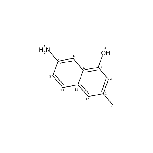 Cc1cc(O)c2cc(N)ccc2c1